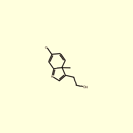 CC12C=CC(Cl)=CC1=NC=C2CCO